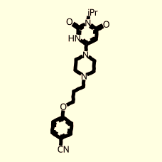 CC(C)n1c(=O)cc(N2CCN(CCCOc3ccc(C#N)cc3)CC2)[nH]c1=O